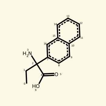 CCC(N)(C(=O)O)c1ccc2ccccc2c1